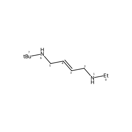 CCNCC=CCNC(C)(C)C